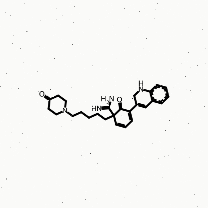 N=C(N)C1(CCCCCN2CCC(=O)CC2)C=CC=C(C2=Cc3ccccc3NC2)C1=O